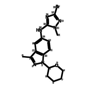 Cc1nn(C2CCCCO2)c2ccc(Nc3nc(Br)nn3C)cc12